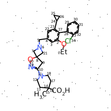 CCOc1cc(CN2CC3(CC(N4CCC(C)(C(=O)O)CC4)=NO3)C2)cc(C2CC2)c1-c1ccccc1Cl